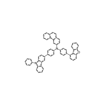 c1ccc(-n2c3ccccc3c3cc(-c4ccc(N(c5ccc(-c6cccc7oc8ccccc8c67)cc5)c5ccc6ccc7ccccc7c6c5)cc4)ccc32)cc1